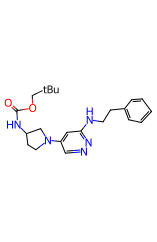 CC(C)(C)COC(=O)NC1CCN(c2cnnc(NCCc3ccccc3)c2)C1